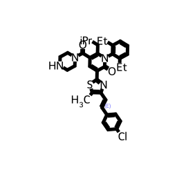 CCc1cccc(CC)c1-n1c(CC(C)C)c(C(=O)N2CCNCC2)cc(-c2nc(/C=C/c3ccc(Cl)cc3)c(C)s2)c1=O